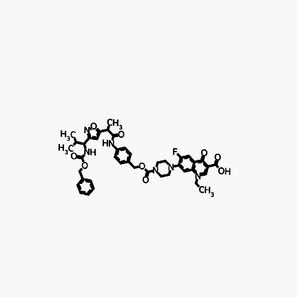 CCn1cc(C(=O)O)c(=O)c2cc(F)c(N3CCN(C(=O)OCc4ccc(NC(=O)C(C)c5cc(C(NC(=O)OCc6ccccc6)C(C)C)no5)cc4)CC3)cc21